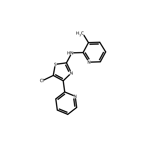 Cc1cccnc1Nc1nc(-c2ccccn2)c(Cl)s1